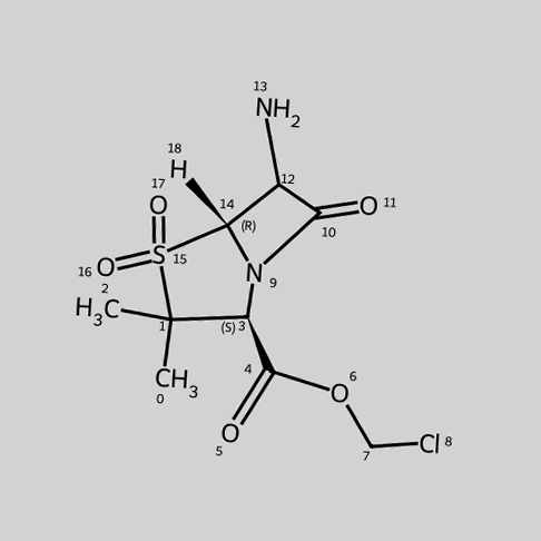 CC1(C)[C@H](C(=O)OCCl)N2C(=O)C(N)[C@H]2S1(=O)=O